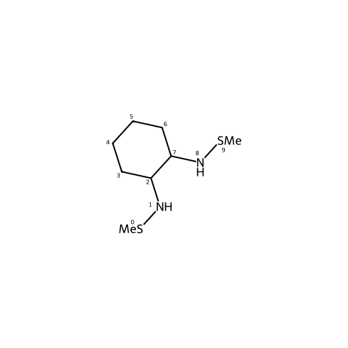 CSNC1CCCCC1NSC